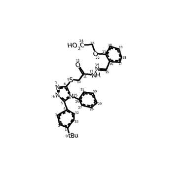 CC(C)(C)c1ccc(-c2nnc(SCC(=O)NN=Cc3ccccc3OCC(=O)O)n2-c2ccccc2)cc1